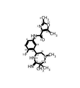 Cc1nc(C(=O)Nc2ccc(F)c(C3CN(C)SC(C)(C)C(=N)N3)c2)c(C)o1